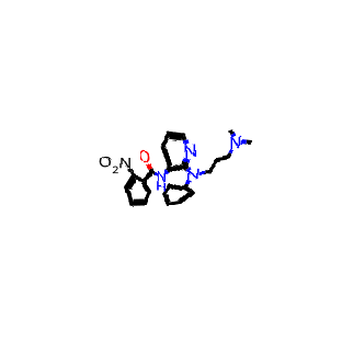 CN(C)CCCN(c1ccccc1)c1ncccc1NC(=O)c1ccccc1[N+](=O)[O-]